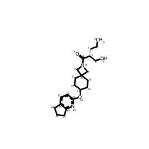 CCC[C@H](CO)C(=O)N1CC2(CCC(Oc3ccc4c(n3)CCC4)CC2)C1